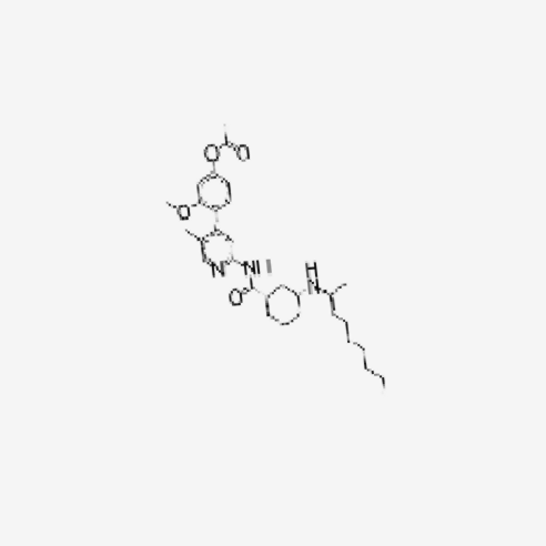 CCCCCCC=C(C)N[C@@H]1CCC[C@H](C(=O)Nc2cc(-c3ccc(OC(C)=O)cc3OC)c(C)cn2)C1